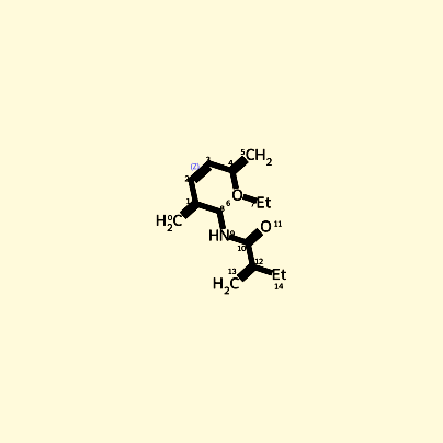 C=C(/C=C\C(=C)OCC)CNC(=O)C(=C)CC